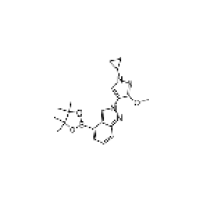 COc1nn(C2CC2)cc1-n1cc2c(B3OC(C)(C)C(C)(C)O3)cccc2n1